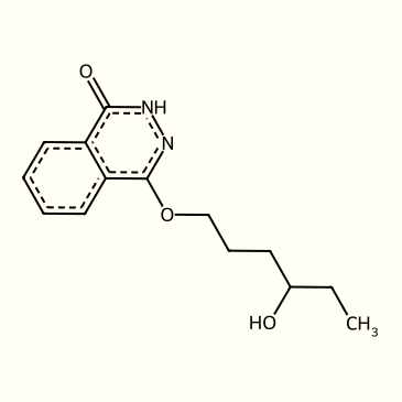 CCC(O)CCCOc1n[nH]c(=O)c2ccccc12